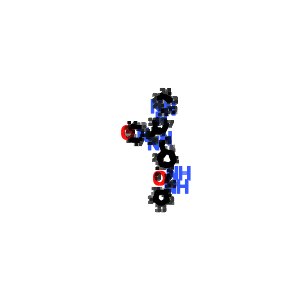 O=C(Nc1ccc(-c2nc3c(c(N4CCOCC4)n2)CN(c2ncccn2)C3)cc1)NC1CCCC1